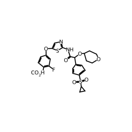 O=C(O)c1ccc(Oc2cnc(NC(=O)C(OC3CCOCC3)c3ccc(S(=O)(=O)C4CC4)cc3)s2)cc1F